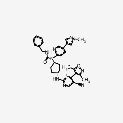 Cc1noc(C)c1-c1nc(N[C@H]2CC[C@H](N(C(=O)NCc3ccccc3)c3ccc(-c4cnn(C)c4)cn3)CC2)ncc1C#N